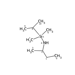 CCC(C)N[Si](C)(C)C(C)C